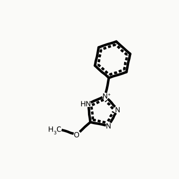 COc1nn[n+](-c2ccccc2)[nH]1